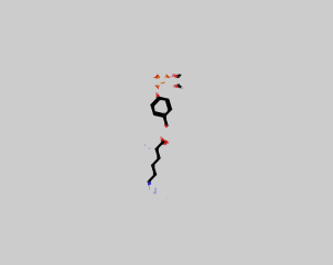 CCOP(=O)(OCC)Oc1ccc(COC(=O)[C@@H](N)CCCCN)cc1